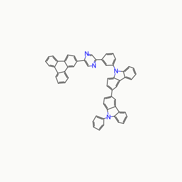 c1ccc(-n2c3ccccc3c3cc(-c4ccc5c(c4)c4ccccc4n5-c4cccc(-c5cnc(-c6ccc7c8ccccc8c8ccccc8c7c6)cn5)c4)ccc32)cc1